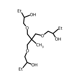 CCC(O)COCC(C)(COCC(O)CC)COCC(O)CC